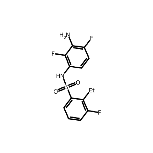 CCc1c(F)cccc1S(=O)(=O)Nc1ccc(F)c(N)c1F